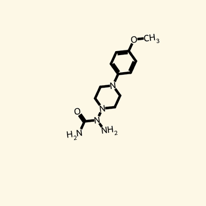 COc1ccc(N2CCN(N(N)C(N)=O)CC2)cc1